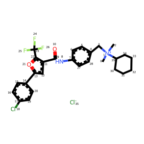 C[N+](C)(Cc1ccc(NC(=O)c2cc(-c3ccc(Cl)cc3)oc2C(F)(F)F)cc1)C1CCCCC1.[Cl-]